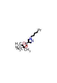 CC(C)[CH]CCCn1cc(B2OC(C)(C)C(C)(C)O2)cn1